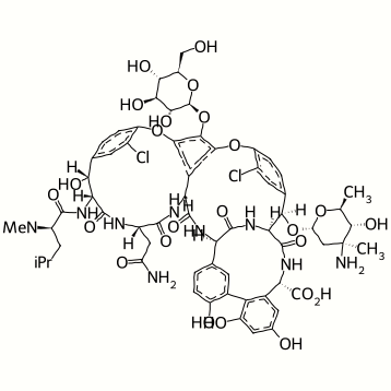 CN[C@H](CC(C)C)C(=O)N[C@H]1C(=O)N[C@@H](CC(N)=O)C(=O)N[C@H]2C(=O)N[C@H]3C(=O)N[C@H](C(=O)N[C@H](C(=O)O)c4cc(O)cc(O)c4-c4cc3ccc4O)[C@H](O[C@H]3C[C@](C)(N)[C@@H](O)[C@H](C)O3)c3ccc(c(Cl)c3)Oc3cc2cc(c3O[C@@H]2O[C@H](CO)[C@@H](O)[C@H](O)[C@H]2O)Oc2ccc(cc2Cl)[C@H]1O